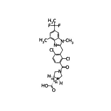 Cc1cc(C(C)(F)F)cc2c1nc(Cc1c(Cl)ccc(C(=O)N3C[C@@H]4[C@H](C3)[C@H]4C(=O)O)c1Cl)n2C